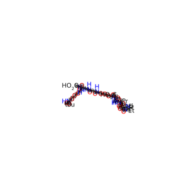 CCc1c2c(nc3ccccc13)-c1cc3c(c(=O)n1C2)COC(=O)[C@@]3(CC)OC(=O)[C@@H](NC(=O)[C@@H]1CCCN1C(=O)[C@H](CC(=O)O)NC(=O)CCOCCOCCOCCNC(=O)CCCC(=O)NCCCC[C@H](NC(=O)CCOCCOCCOCCNC(=O)OC(C)(C)C)C(=O)NCCC(=O)O)C(C)C